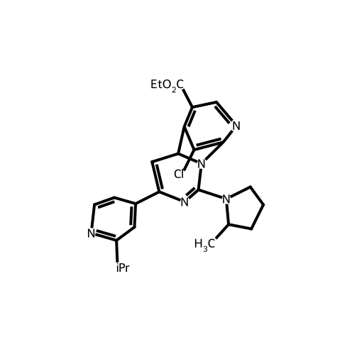 CCOC(=O)c1cnc2c(Cl)c1C1C=C(c3ccnc(C(C)C)c3)N=C(N3CCCC3C)N21